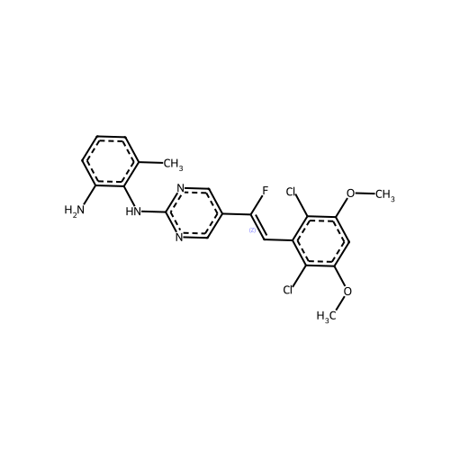 COc1cc(OC)c(Cl)c(/C=C(\F)c2cnc(Nc3c(C)cccc3N)nc2)c1Cl